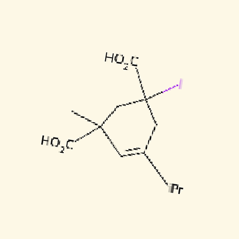 CC(C)C1=CC(C)(C(=O)O)CC(I)(C(=O)O)C1